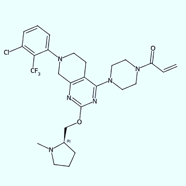 C=CC(=O)N1CCN(c2nc(OC[C@H]3CCCN3C)nc3c2CCN(c2cccc(Cl)c2C(F)(F)F)C3)CC1